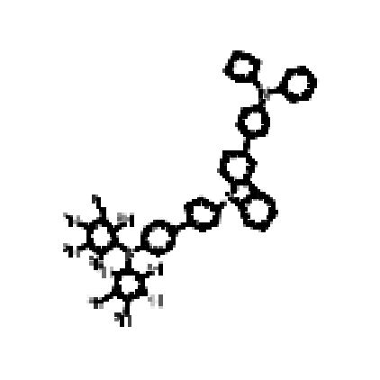 [2H]c1c([2H])c([2H])c(N(c2ccc(-c3ccc(-n4c5ccccc5c5cc(-c6ccc(N(c7ccccc7)c7ccccc7)cc6)ccc54)cc3)cc2)c2c([2H])c([2H])c([2H])c([2H])c2[2H])c([2H])c1[2H]